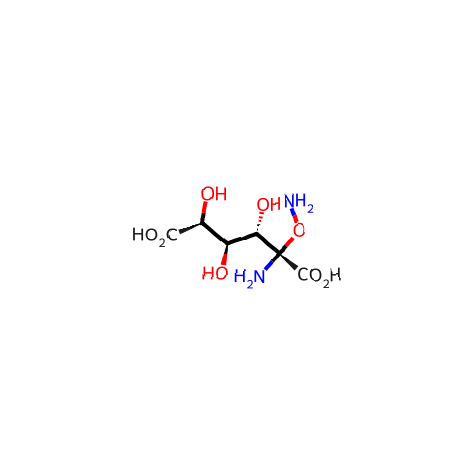 NO[C@@](N)(C(=O)O)[C@@H](O)[C@@H](O)[C@H](O)C(=O)O